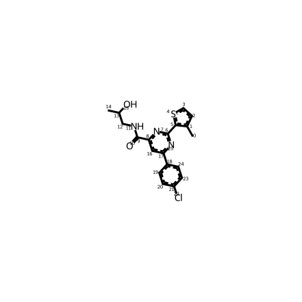 Cc1ccsc1-c1nc(C(=O)NCC(C)O)cc(-c2ccc(Cl)cc2)n1